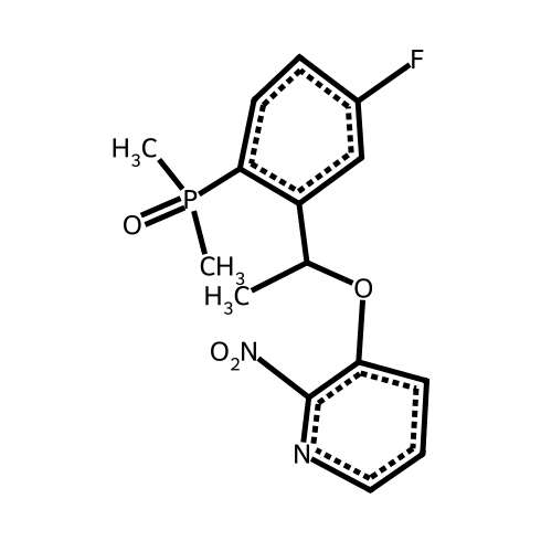 CC(Oc1cccnc1[N+](=O)[O-])c1cc(F)ccc1P(C)(C)=O